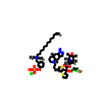 CCCCCCCCCCCC[N+](C)(C)Cc1ccccc1.CCCN1CCC[C@@H]2Cc3[nH]ncc3C[C@H]21.C[N+]1(C)[C@@H]2C[C@@H](OC(=O)C(O)(c3cccs3)c3cccs3)C[C@H]1[C@@H]1O[C@@H]12.Cl.O=S(=O)(O)O.[Br-].[Cl-].[Cl-].[Na+]